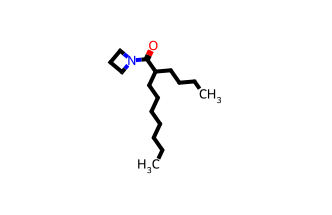 CCCCCCCC(CCCC)C(=O)N1CCC1